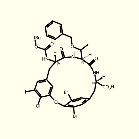 CC(OCc1ccccc1)[C@@H]1NC(=O)[C@@H](NC(=O)OC(C)(C)C)Cc2cc(I)c(O)c(c2)Oc2c(Br)cc(cc2Br)C[C@@H](C(=O)O)NC1=O